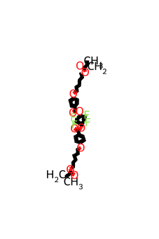 C=C(C)C(=O)OCCCCCCOc1ccc(C(=O)Oc2c(F)c(F)c(OC(=O)c3ccc(OCCCCCCOC(=O)C(=C)C)cc3)c(F)c2F)cc1